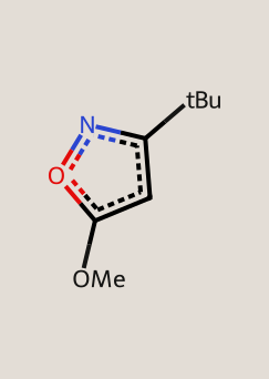 COc1cc(C(C)(C)C)no1